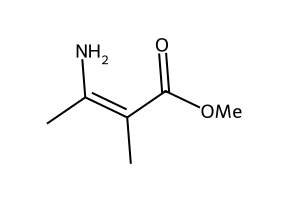 COC(=O)/C(C)=C(/C)N